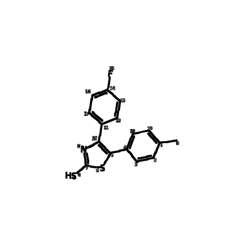 Cc1ccc(-c2sc(S)nc2-c2ccc(F)cc2)cc1